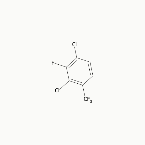 Fc1c(Cl)ccc(C(F)(F)F)c1Cl